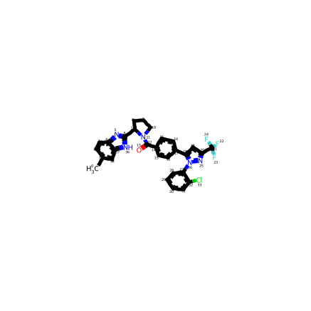 Cc1ccc2nc(C3CCCN3C(=O)c3ccc(-c4cc(C(F)(F)F)nn4-c4ccccc4Cl)cc3)[nH]c2c1